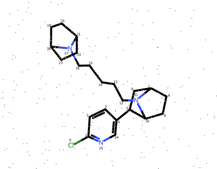 Clc1ccc(C2CC3CCC2N3CCCCCN2C3CCC2CC3)cn1